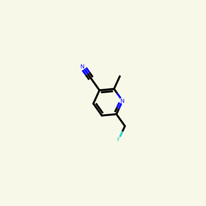 Cc1nc(CF)ccc1C#N